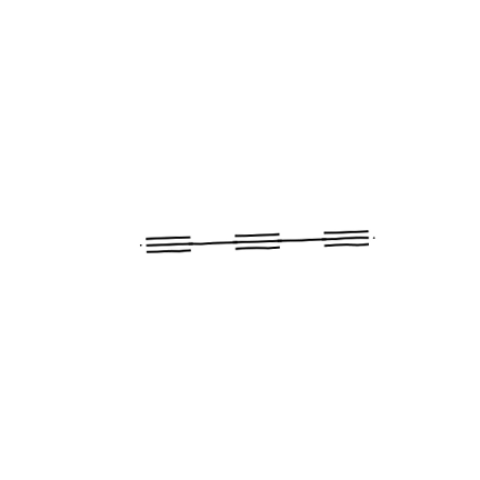 [C]#CC#CC#[C]